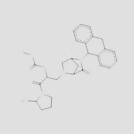 CC(C)(C)OC(=O)NC(CN1C[C@@H]2CC1C(=O)N2C1c2ccccc2Cc2ccccc21)C(=O)N1CCCC1C#N